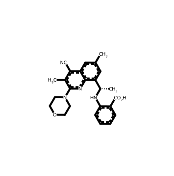 Cc1cc([C@H](C)Nc2ccccc2C(=O)O)c2nc(N3CCOCC3)c(C)c(C#N)c2c1